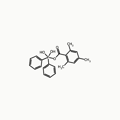 Cc1cc(C)c(C(=O)OP(O)(O)(c2ccccc2)c2ccccc2)c(C)c1